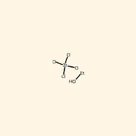 CCO.[Cl][Zr]([Cl])([Cl])[Cl]